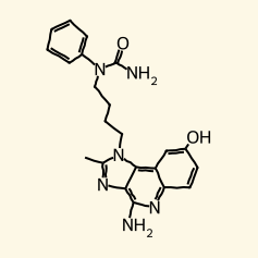 Cc1nc2c(N)nc3ccc(O)cc3c2n1CCCCN(C(N)=O)c1ccccc1